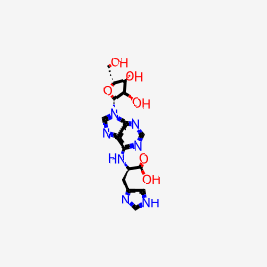 O=C(O)[C@@H](Cc1c[nH]cn1)Nc1ncnc2c1ncn2[C@@H]1O[C@H](CO)[C@H](O)C1O